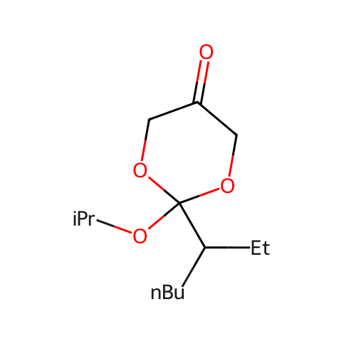 CCCCC(CC)C1(OC(C)C)OCC(=O)CO1